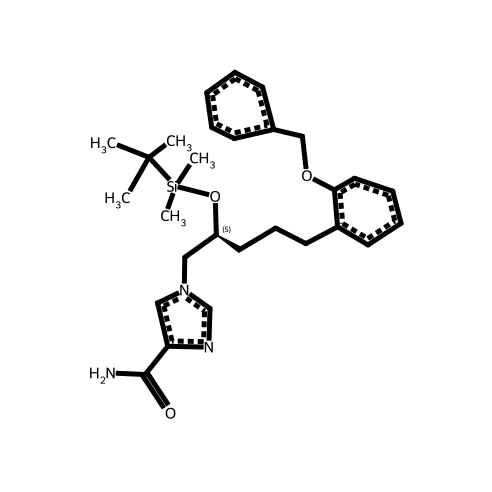 CC(C)(C)[Si](C)(C)O[C@@H](CCCc1ccccc1OCc1ccccc1)Cn1cnc(C(N)=O)c1